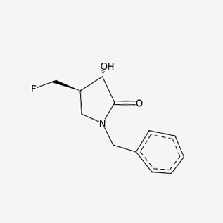 O=C1[C@@H](O)[C@H](CF)CN1Cc1ccccc1